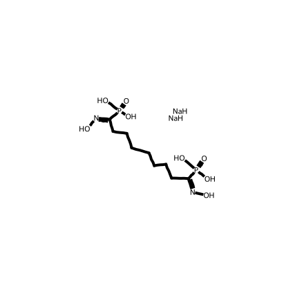 O=P(O)(O)/C(CCCCCCC/C(=N\O)P(=O)(O)O)=N\O.[NaH].[NaH]